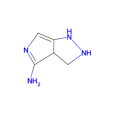 NC1=NC=C2NNCC21